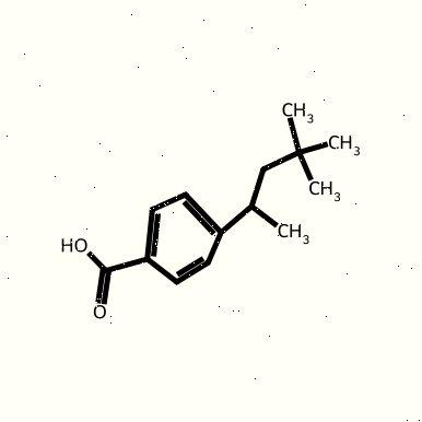 CC(CC(C)(C)C)c1ccc(C(=O)O)cc1